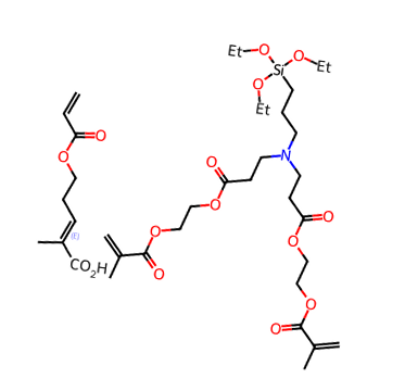 C=C(C)C(=O)OCCOC(=O)CCN(CCC[Si](OCC)(OCC)OCC)CCC(=O)OCCOC(=O)C(=C)C.C=CC(=O)OCC/C=C(\C)C(=O)O